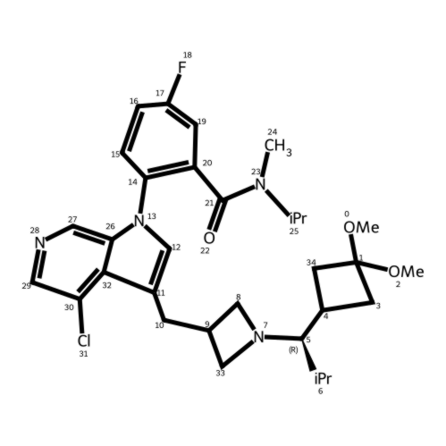 COC1(OC)CC([C@@H](C(C)C)N2CC(Cc3cn(-c4ccc(F)cc4C(=O)N(C)C(C)C)c4cncc(Cl)c34)C2)C1